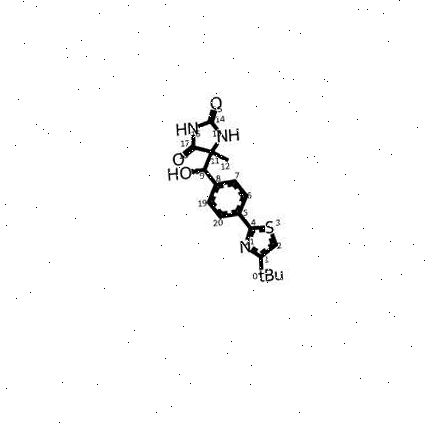 CC(C)(C)c1csc(-c2ccc(C(O)C3(C)NC(=O)NC3=O)cc2)n1